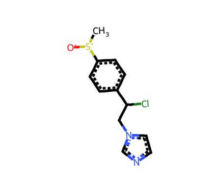 C[S+]([O-])c1ccc(C(Cl)Cn2ccnc2)cc1